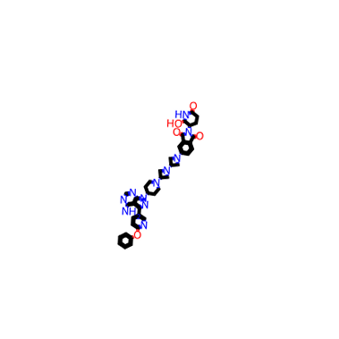 Nc1ncnc2c1c(-c1ccc(Oc3ccccc3)nc1)nn2C1CCN(C2CN(C3CN(c4ccc5c(c4)C(=O)N(C4CCC(=O)NC4O)C5=O)C3)C2)CC1